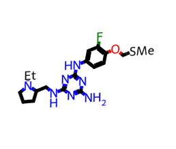 CCN1CCCC1CNc1nc(N)nc(Nc2ccc(OCSC)c(F)c2)n1